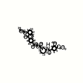 COCOc1ccc(C(=O)NC2CCCCN(C(=O)OOC(=O)c3ccc(C(=O)c4c(F)cccc4OCOC)cc3)C2)cc1OC